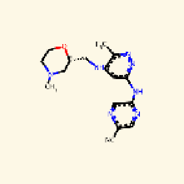 CN1CCO[C@H](CNc2cc(Nc3cnc(C#N)cn3)nnc2C(F)(F)F)C1